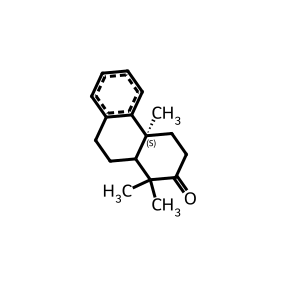 CC1(C)C(=O)CC[C@]2(C)c3ccccc3CCC12